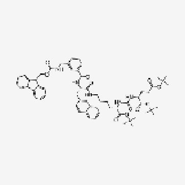 CC(C)(C)OC(=O)CC[C@H](NC(=O)N[C@@H](CCCCNC(=O)[C@H](Cc1ccc2ccccc2c1)NC(=O)c1cccc(CNC(=O)OCC2c3ccccc3-c3ccccc32)c1)C(=O)OC(C)(C)C)C(=O)OC(C)(C)C